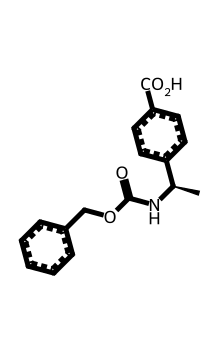 C[C@@H](NC(=O)OCc1ccccc1)c1ccc(C(=O)O)cc1